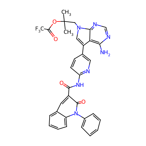 CC(C)(Cn1cc(-c2ccc(NC(=O)c3cc4ccccc4n(-c4ccccc4)c3=O)nc2)c2c(N)ncnc21)OC(=O)C(F)(F)F